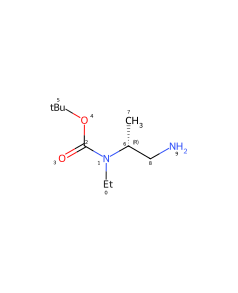 CCN(C(=O)OC(C)(C)C)[C@H](C)CN